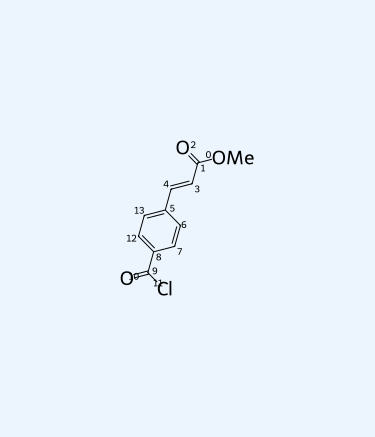 COC(=O)/C=C/c1ccc(C(=O)Cl)cc1